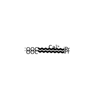 CC(C)CCCCCCCCCCCCCCC(=O)[O-].CC(C)CCCCCCCCCCCCCCC(=O)[O-].[Ca+2]